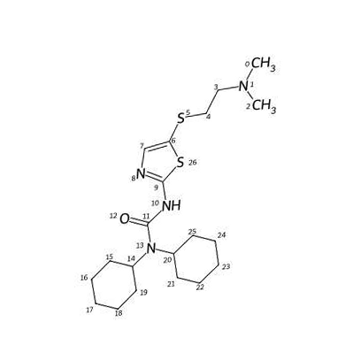 CN(C)CCSc1cnc(NC(=O)N(C2CCCCC2)C2CCCCC2)s1